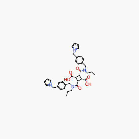 CCCN(Cc1ccc(Cn2cccc2)cc1)C(=O)[C@H]1[C@H](C(=O)O)[C@H](C(=O)N(CCC)Cc2ccc(Cn3cccc3)cc2)[C@H]1C(=O)O